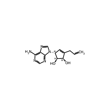 C=CCC1=C[C@@H](n2cnc3c(N)ncnc32)[C@H](O)[C@@H]1O